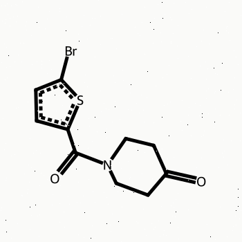 O=C1CCN(C(=O)c2ccc(Br)s2)CC1